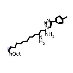 CCCCCCCC/C=C\CCCCCCCCC(N)CC(N)n1cc(-c2ccc(C)cc2)nn1